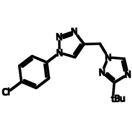 CC(C)(C)c1ncn(Cc2cn(-c3ccc(Cl)cc3)nn2)n1